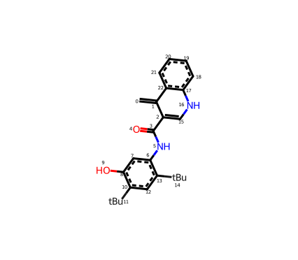 C=C1C(C(=O)Nc2cc(O)c(C(C)(C)C)cc2C(C)(C)C)=CNc2ccccc21